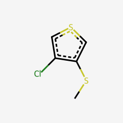 CSc1cscc1Cl